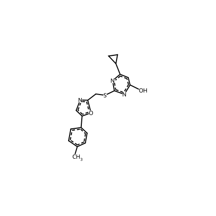 Cc1ccc(-c2cnc(CSc3nc(O)cc(C4CC4)n3)o2)cc1